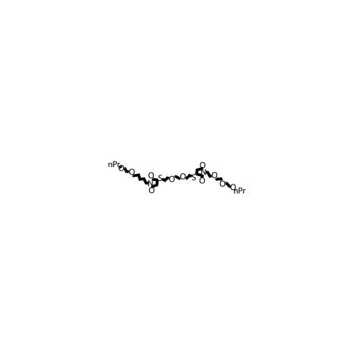 CCCOCCOCCCCCN1C(=O)CC(SCCOCCOCCSC2CC(=O)N(CCOCCOCCOCCC)C2=O)C1=O